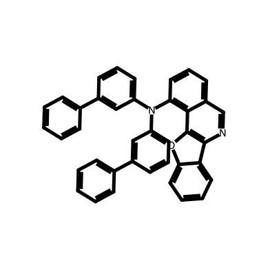 c1ccc(-c2cccc(N(c3cccc(-c4ccccc4)c3)c3cccc4cnc5c6ccccc6oc5c34)c2)cc1